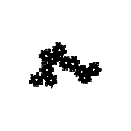 c1ccc(-n2c3ccccc3c3cc(-c4cc5c(c6ccccc46)c4ccccc4n5-c4ccc5cc(-c6cc7c8c(cccc8n6)-c6ccccc6-7)ccc5c4)ccc32)cc1